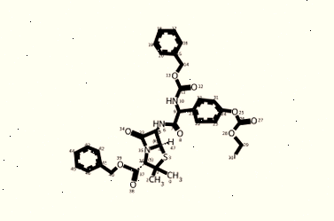 CC1(C)S[C@@H]2[C@H](NC(=O)C(NC(=O)OCc3ccccc3)c3ccc(OC(=O)OCI)cc3)C(=O)N2[C@H]1C(=O)OCc1ccccc1